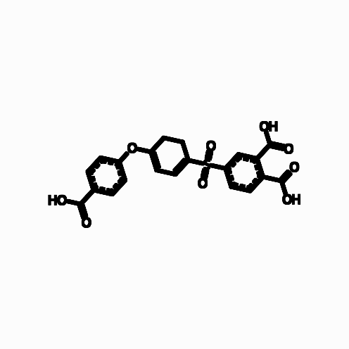 O=C(O)c1ccc(OC2=CC=C(S(=O)(=O)c3ccc(C(=O)O)c(C(=O)O)c3)CC2)cc1